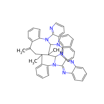 C=C1CC2(C)c3ccccc3N3c4nc5ccccc5nc4N(c4ccccc4)C3C2(C)C2N(c3ccccc3)c3cccnc3N2c2ccccc21